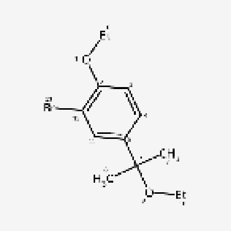 CCOc1ccc(C(C)(C)OCC)cc1Br